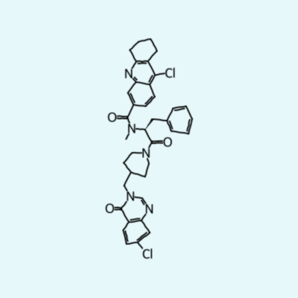 CN(C(=O)c1ccc2c(Cl)c3c(nc2c1)CCCC3)[C@@H](Cc1ccccc1)C(=O)N1CCC(Cn2cnc3cc(Cl)ccc3c2=O)CC1